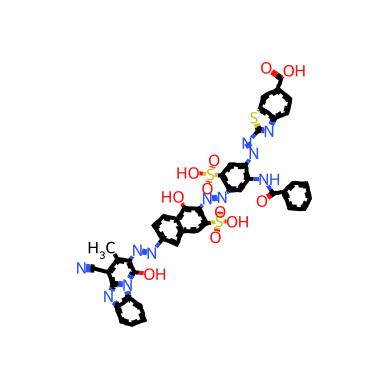 Cc1c(N=Nc2ccc3c(O)c(N=Nc4cc(NC(=O)c5ccccc5)c(N=Nc5nc6ccc(C(=O)O)cc6s5)cc4S(=O)(=O)O)c(S(=O)(=O)O)cc3c2)c(O)n2c(nc3ccccc32)c1C#N